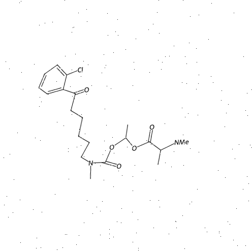 CNC(C)C(=O)OC(C)OC(=O)N(C)CCCCCC(=O)c1ccccc1Cl